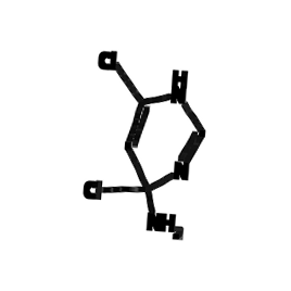 NC1(Cl)C=C(Cl)NC=N1